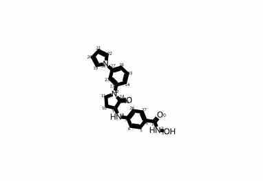 O=C(NO)c1ccc(NC2CCN(c3cccc(-n4cccc4)c3)C2=O)cc1